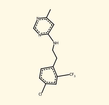 Cc1cc(NCCc2ccc(Cl)cc2C(F)(F)F)ncn1